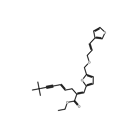 CCOC(=O)/C(=C/c1ccc(COC/C=C/c2ccsc2)o1)C/C=C/C#CC(C)(C)C